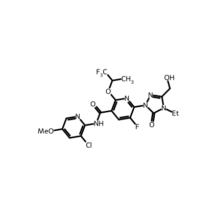 CCn1c(CO)nn(-c2nc(OC(C)C(F)(F)F)c(C(=O)Nc3ncc(OC)cc3Cl)cc2F)c1=O